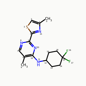 Cc1csc(-c2ncc(C)c(NC3CCC(F)(F)CC3)n2)n1